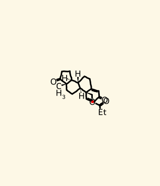 CCC(=O)OC[C@]12C=CC(=O)C=C1CC[C@H]1[C@@H]3CCC(=O)[C@@]3(C)CC[C@@H]12